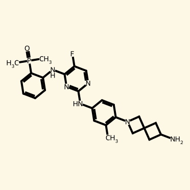 Cc1cc(Nc2ncc(F)c(Nc3ccccc3P(C)(C)=O)n2)ccc1N1CC2(CC(N)C2)C1